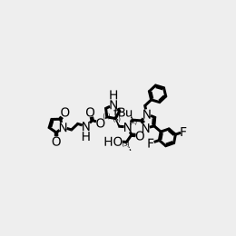 C[C@H](O)C(=O)N(C[C@@H]1CNC[C@H]1OC(=O)NCCN1C(=O)C=CC1=O)[C@@H](c1nc(-c2cc(F)ccc2F)cn1Cc1ccccc1)C(C)(C)C